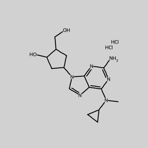 CN(c1nc(N)nc2c1ncn2C1CC(O)C(CO)C1)C1CC1.Cl.Cl